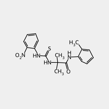 Cc1ccccc1NC(=O)C(C)(C)NC(=S)Nc1ccccc1[N+](=O)[O-]